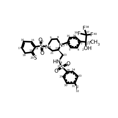 C[C@](O)(c1ccc(N2CCN(S(=O)(=O)C3=CC=CCC3=S)C[C@@H]2CNS(=O)(=O)c2ccc(F)cc2)cc1)C(F)(F)F